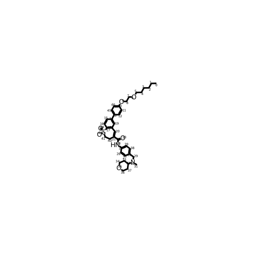 CCCCCCOCCOc1ccc(-c2ccc3c(c2)C=C(C(=O)Nc2ccc(CN(C)C4CCOCC4)cc2)CCS3(=O)=O)cc1